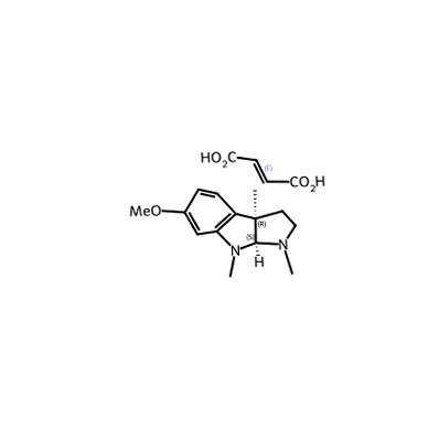 COc1ccc2c(c1)N(C)[C@@H]1N(C)CC[C@]21C.O=C(O)/C=C/C(=O)O